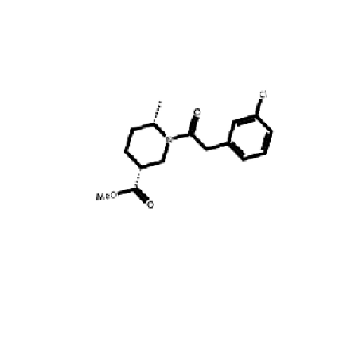 COC(=O)[C@@H]1CC[C@H](C)N(C(=O)Cc2cccc(Cl)c2)C1